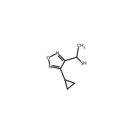 CC(S)c1nonc1C1CC1